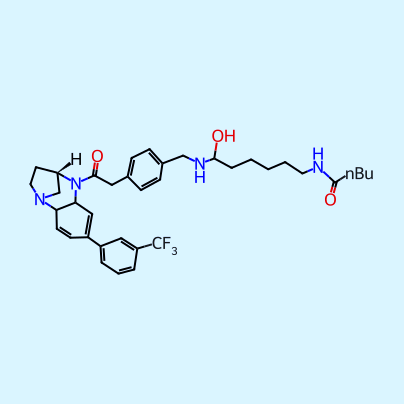 CCCCC(=O)NCCCCCC(O)NCc1ccc(CC(=O)N2C3C=C(c4cccc(C(F)(F)F)c4)C=CC3N3CC[C@H]2C3)cc1